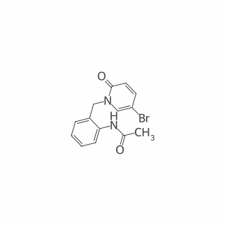 CC(=O)Nc1ccccc1Cn1cc(Br)ccc1=O